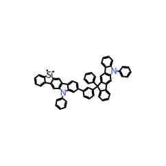 C[Si]1(C)c2ccccc2-c2cc3c(cc21)c1ccc(-c2cccc(C4(c5ccccc5)c5ccccc5-c5cc6c(cc54)c4ccccc4n6-c4ccccc4)c2)cc1n3-c1ccccc1